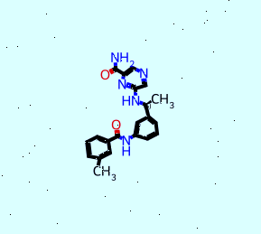 Cc1cccc(C(=O)Nc2cccc([C@H](C)Nc3cncc(C(N)=O)n3)c2)c1